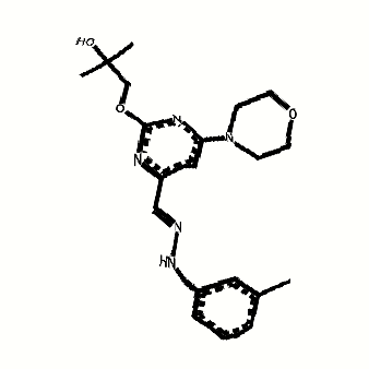 Cc1cccc(NN=Cc2cc(N3CCOCC3)nc(OCC(C)(C)O)n2)c1